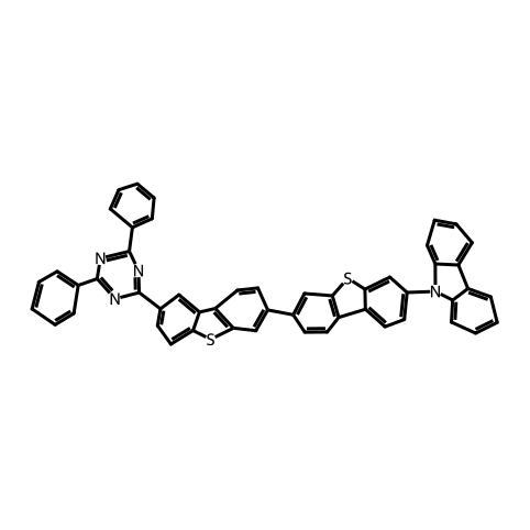 c1ccc(-c2nc(-c3ccccc3)nc(-c3ccc4sc5cc(-c6ccc7c(c6)sc6cc(-n8c9ccccc9c9ccccc98)ccc67)ccc5c4c3)n2)cc1